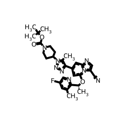 Cc1cc(F)cnc1[C@@H](C)Oc1cc(-c2nnn(C3CCN(C(=O)OC(C)(C)C)CC3)c2C)cc2ncc(C#N)n12